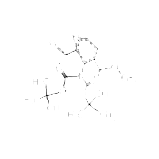 COC(=O)c1ccnc(C=O)c1N(C(=O)OC(C)(C)C)C(=O)OC(C)(C)C